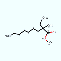 CCCCCCCCCCCCCCCCC(CC(=O)O)(C(=O)OCCCCCCCC)S(=O)(=O)O